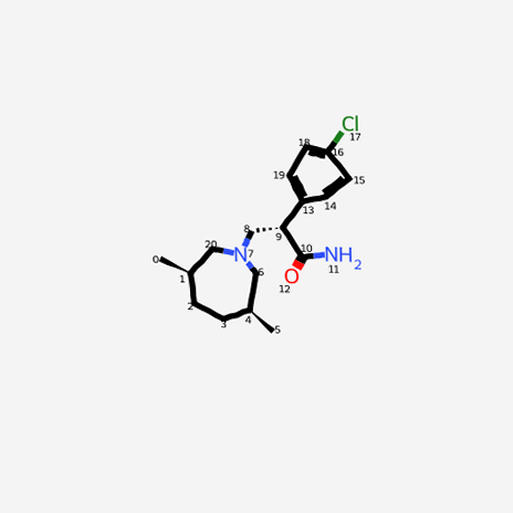 C[C@@H]1CC[C@H](C)CN(C[C@@H](C(N)=O)c2ccc(Cl)cc2)C1